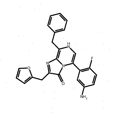 Nc1ccc(F)c(-c2c[nH]c(Cc3ccccc3)c3nc(Cc4ccco4)c(=O)n2-3)c1